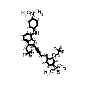 CN(C)C1CCC(Nc2cccc3c(CC(F)(F)F)c(C#CCNc4ccc(P(C)(C)=O)cc4OCC(F)(F)F)sc23)CC1